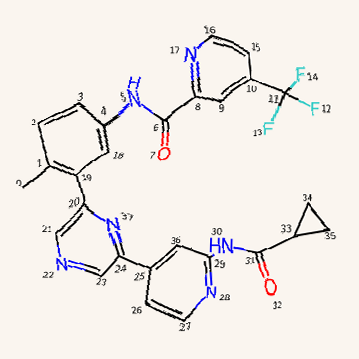 Cc1ccc(NC(=O)c2cc(C(F)(F)F)ccn2)cc1-c1cncc(-c2ccnc(NC(=O)C3CC3)c2)n1